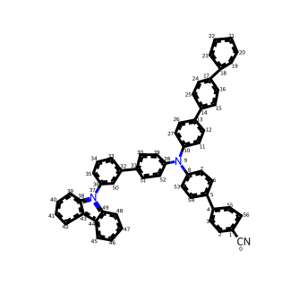 N#Cc1ccc(-c2ccc(N(c3ccc(-c4ccc(-c5ccccc5)cc4)cc3)c3ccc(-c4cccc(-n5c6ccccc6c6ccccc65)c4)cc3)cc2)cc1